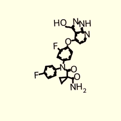 NC(=O)C1(C(=O)N(c2ccc(F)cc2)c2ccc(Oc3ccnc4[nH]nc(CO)c34)c(F)c2)CC1